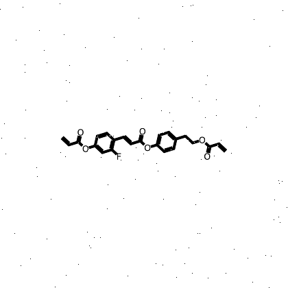 C=CC(=O)OCCc1ccc(OC(=O)/C=C/c2ccc(OC(=O)C=C)cc2F)cc1